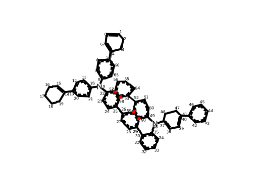 C1=CCCC(c2ccc(N(c3ccc(C4=CCCCC4)cc3)c3ccc(-c4ccc(-c5ccccc5N(C5=CC=C(c6ccccc6)CC5)c5ccc(-c6ccccc6)cc5)cc4)cc3)cc2)=C1